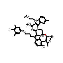 COCCn1c(C(=O)O)c(N2C[C@@H](C)n3c(c(CCCOc4cc(C)c(Cl)c(C)c4)c4ccc(Cl)c(-c5c(C)n[nH]c5C)c43)C2=O)c2cc(C)ccc21